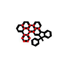 CC1(c2ccccc2)c2ccccc2-c2ccc(N(c3ccccc3-c3ccccc3)c3ccccc3-c3ccccc3-c3ccccc3-c3ccccc3)cc21